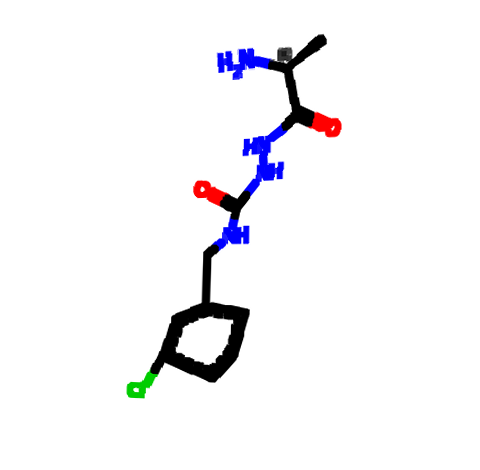 C[C@H](N)C(=O)NNC(=O)NCc1cccc(Cl)c1